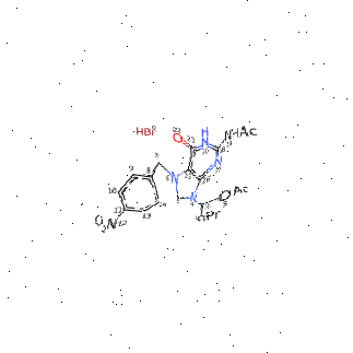 Br.CCCC(OC(C)=O)N1CN(Cc2ccc([N+](=O)[O-])cc2)c2c1nc(NC(C)=O)[nH]c2=O